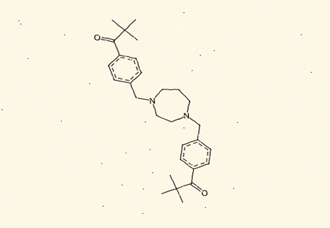 CC(C)(C)C(=O)c1ccc(CN2CCCN(Cc3ccc(C(=O)C(C)(C)C)cc3)CC2)cc1